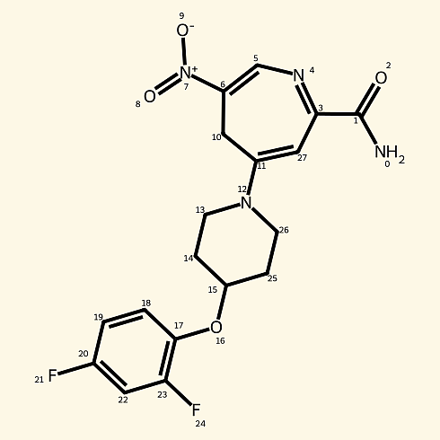 NC(=O)C1=NC=C([N+](=O)[O-])CC(N2CCC(Oc3ccc(F)cc3F)CC2)=C1